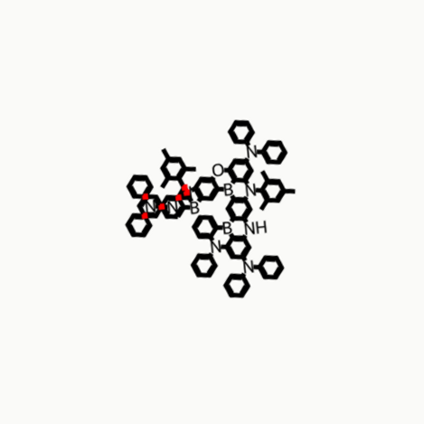 Cc1cc(C)c(N2c3cc4c(cc3B3c5cc6c(cc5Oc5cc(N(c7ccccc7)c7ccccc7)cc2c53)N(c2c(C)cc(C)cc2C)c2cc(N(c3ccccc3)c3ccccc3)cc3c2B6c2ccccc2N3c2ccccc2)B2c3ccccc3N(c3ccccc3)c3cc(N(c5ccccc5)c5ccccc5)cc(c32)N4)c(C)c1